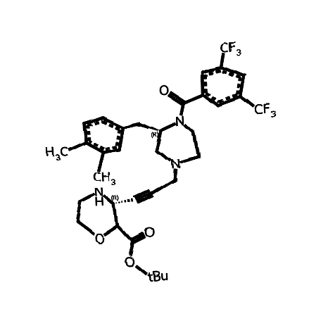 Cc1ccc(C[C@@H]2CN(CC#C[C@H]3NCCOC3C(=O)OC(C)(C)C)CCN2C(=O)c2cc(C(F)(F)F)cc(C(F)(F)F)c2)cc1C